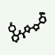 COc1cccc(-c2cnn(-c3nc(C(=O)Nc4cnccc4N4CCNCC4)cs3)c2)c1